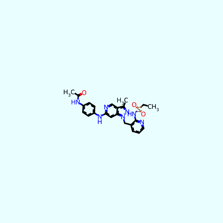 CCS(=O)(=O)Nc1ncccc1Cn1nc(C)c2cnc(Nc3ccc(NC(C)=O)cc3)cc21